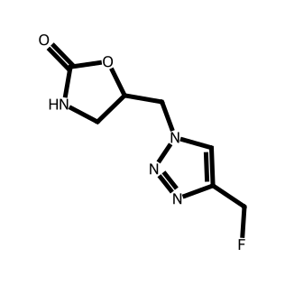 O=C1NCC(Cn2cc(CF)nn2)O1